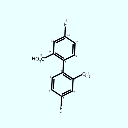 Cc1cc(F)ccc1-c1ccc(F)cc1C(=O)O